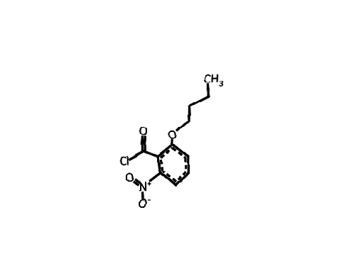 CCCCOc1cccc([N+](=O)[O-])c1C(=O)Cl